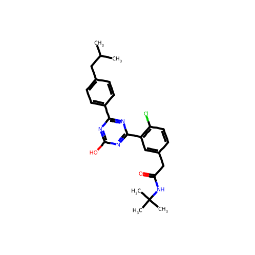 CC(C)Cc1ccc(-c2nc(O)nc(-c3cc(CC(=O)NC(C)(C)C)ccc3Cl)n2)cc1